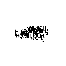 CC(C)(C)c1nc(-c2cccc(B3OC(C)(C)C(C)(C)O3)c2)nc(C(C)(C)C)n1